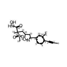 CC#Cc1ccc(C2=NOC(CC(C)(C(=O)NO)S(C)(=O)=O)C2)cc1F